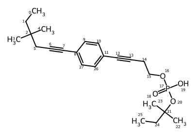 CCC(C)(C)CC#Cc1ccc(C#CCCOP(=O)(O)OC(C)(C)CC)cc1